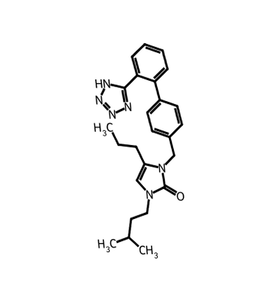 CCCc1cn(CCC(C)C)c(=O)n1Cc1ccc(-c2ccccc2-c2nnn[nH]2)cc1